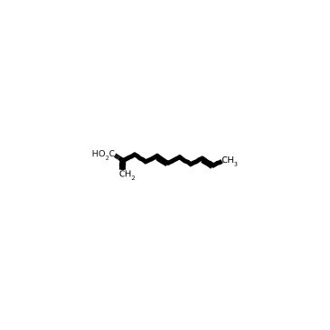 C=C(CCC=CCCC=CC)C(=O)O